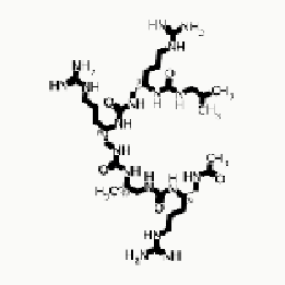 CC(=O)NC[C@H](CCCNC(=N)N)NC(=O)NC[C@H](C)NC(=O)NC[C@H](CCCNC(=N)N)NC(=O)NC[C@H](CCCNC(=N)N)NC(=O)NCC(C)C